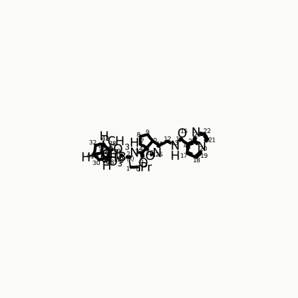 CC(C)C[C@H](NC(=O)C12CCCC1C(CNC(=O)c1cccn3ccnc13)=NO2)B1O[C@@H]2C[C@@H]3C[C@@H](C3(C)C)[C@]2(C)O1